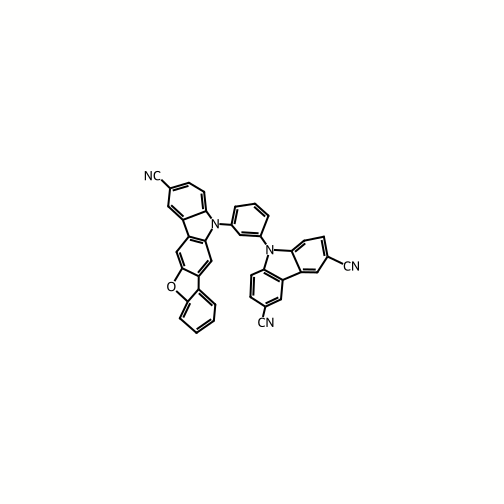 N#Cc1ccc2c(c1)c1cc(C#N)ccc1n2-c1cccc(-n2c3ccc(C#N)cc3c3cc4oc5ccccc5c4cc32)c1